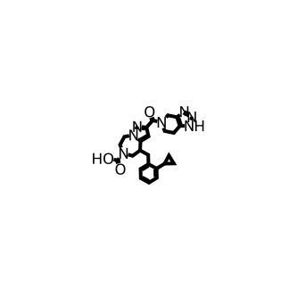 O=C(O)N1CCn2nc(C(=O)N3CCc4[nH]nnc4C3)cc2C(Cc2ccccc2C2CC2)C1